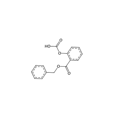 O=C(O)Oc1ccccc1C(=O)OCc1ccccc1